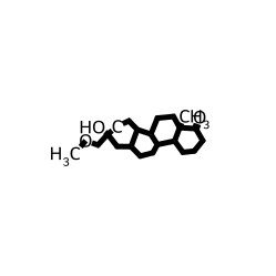 COCC1(O)CCC2C(CCC3C2CCC2(C)C(=O)CCCC32)C1